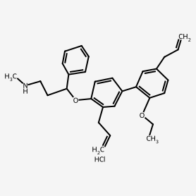 C=CCc1ccc(OCC)c(-c2ccc(OC(CCNC)c3ccccc3)c(CC=C)c2)c1.Cl